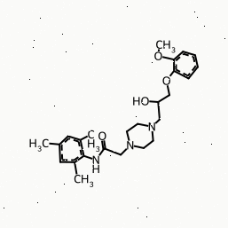 COc1ccccc1OCC(O)CN1CCN(CC(=O)Nc2c(C)cc(C)cc2C)CC1